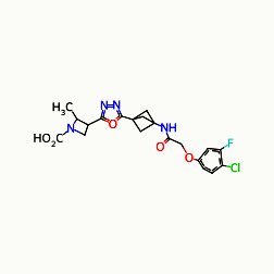 CC1C(c2nnc(C34CC(NC(=O)COc5ccc(Cl)c(F)c5)(C3)C4)o2)CN1C(=O)O